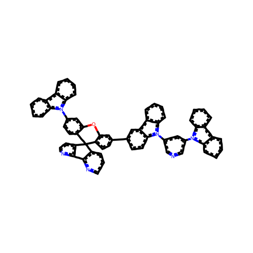 c1cnc2c(c1)C1(c3ccc(-c4ccc5c(c4)c4ccccc4n5-c4cncc(-n5c6ccccc6c6ccccc65)c4)cc3Oc3cc(-n4c5ccccc5c5ccccc54)ccc31)c1cccnc1-2